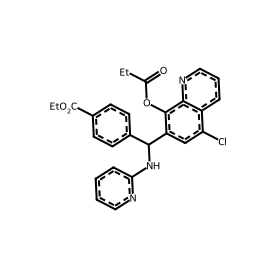 CCOC(=O)c1ccc(C(Nc2ccccn2)c2cc(Cl)c3cccnc3c2OC(=O)CC)cc1